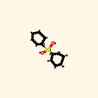 O=S(=O)(c1c[c]ccc1)c1ccccc1